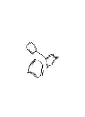 c1ccc(-c2cccs2)cc1.c1ccncc1